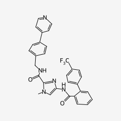 Cn1cc(NC(=O)c2ccccc2-c2ccc(C(F)(F)F)cc2)nc1C(=O)NCc1ccc(-c2ccncc2)cc1